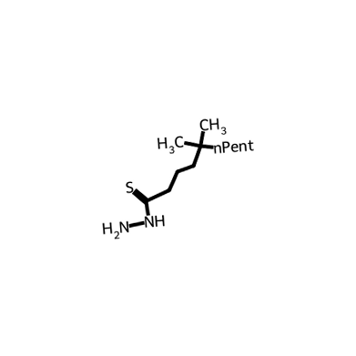 CCCCCC(C)(C)CCCC(=S)NN